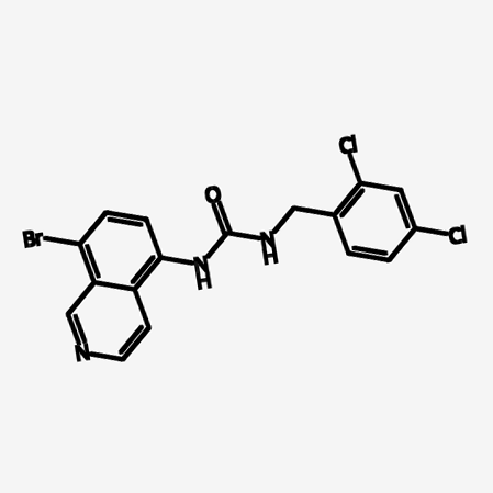 O=C(NCc1ccc(Cl)cc1Cl)Nc1ccc(Br)c2cnccc12